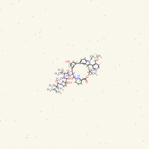 CCn1c(-c2cnccc2COC)c2c3cc(ccc31)-c1cc(O)cc(c1)C[C@H](NC(=O)[C@H](C(C)C)N(C)C(=O)C1(O)CCN(C(=O)C(C)(C)N(C)C)C1)C(=O)N1CCC[C@H](N1)C(=O)OCC(C)(C)C2